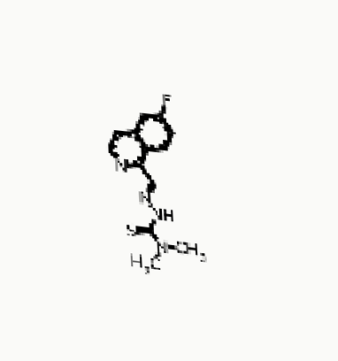 CN(C)C(=S)N/N=C/c1nccc2cc(F)ccc12